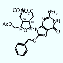 CC(=O)OC[C@@H]1O[C@@H](n2c(OCc3ccccc3)nc3c(=O)[nH]c(N)nc32)[C@H](CC(=O)O)[C@@H]1CC(=O)O